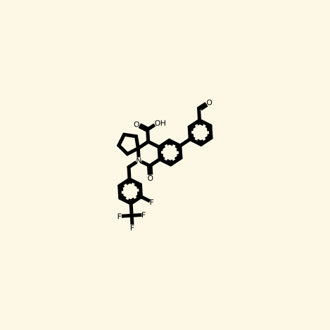 O=Cc1cccc(-c2ccc3c(c2)C(C(=O)O)C2(CCCC2)N(Cc2ccc(C(F)(F)F)c(F)c2)C3=O)c1